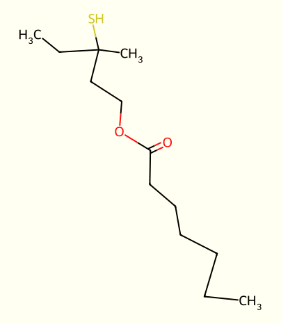 CCCCCCC(=O)OCCC(C)(S)CC